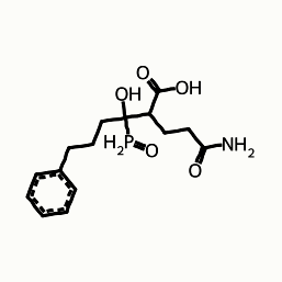 NC(=O)CCC(C(=O)O)C(O)(CCCc1ccccc1)[PH2]=O